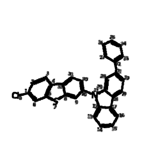 Clc1ccc2c(c1)sc1cc(-n3c4ccccc4c4ccc(-c5ccccc5)cc43)ccc12